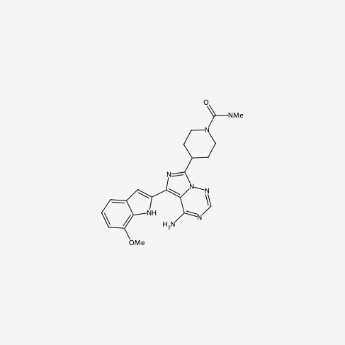 CNC(=O)N1CCC(c2nc(-c3cc4cccc(OC)c4[nH]3)c3c(N)ncnn23)CC1